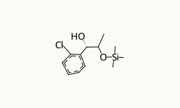 CC(O[Si](C)(C)C)[C@@H](O)c1ccccc1Cl